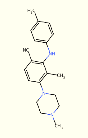 Cc1ccc(Nc2c(C#N)ccc(N3CCN(C)CC3)c2C)cc1